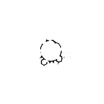 CO[C@H]1C[C@@H](C)C/C(C)=C/CC(=N)C[C@H](O)[C@@H](C)COC(=O)[C@@H]2CCCCN2C(=O)C(=O)[C@]2(O)O[C@H]1[C@@H](OC)C[C@H]2C